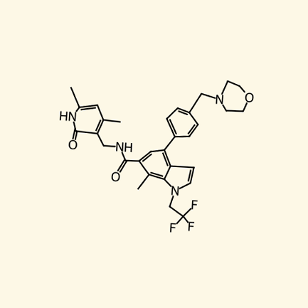 Cc1cc(C)c(CNC(=O)c2cc(-c3ccc(CN4CCOCC4)cc3)c3ccn(CC(F)(F)F)c3c2C)c(=O)[nH]1